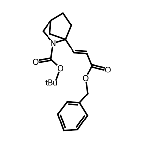 CC(C)(C)OC(=O)N1CC2CCC1(C=CC(=O)OCc1ccccc1)C2